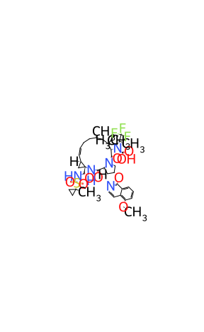 COc1cccc2c(O[C@@H]3C[C@H]4C(=O)N[C@]5(C(=O)NS(=O)(=O)C6(C)CC6)C[C@H]5/C=C\CC[C@H](C)C[C@@H](C)[C@H](N(C(=O)O)C(C)(C)C(F)(F)F)C(=O)N4C3)nccc12